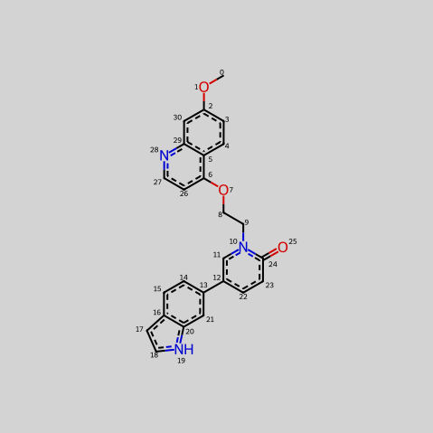 COc1ccc2c(OCCn3cc(-c4ccc5cc[nH]c5c4)ccc3=O)ccnc2c1